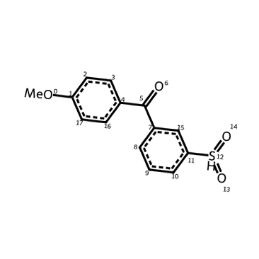 COc1ccc(C(=O)c2cccc([SH](=O)=O)c2)cc1